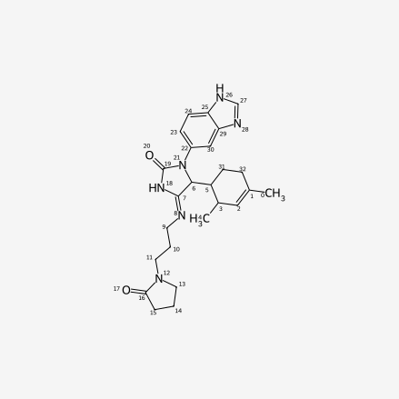 CC1=CC(C)C(C2C(=NCCCN3CCCC3=O)NC(=O)N2c2ccc3[nH]cnc3c2)CC1